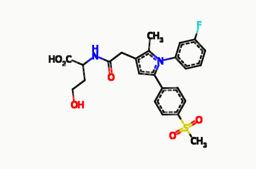 Cc1c(CC(=O)NC(CCO)C(=O)O)cc(-c2ccc(S(C)(=O)=O)cc2)n1-c1cccc(F)c1